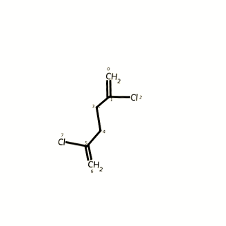 C=C(Cl)[CH]CC(=C)Cl